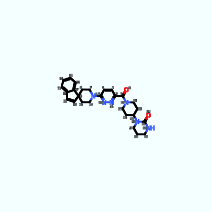 O=C(c1ccc(N2CCC3(C=Cc4ccccc43)CC2)nn1)N1CCC(N2CCCNC2=O)CC1